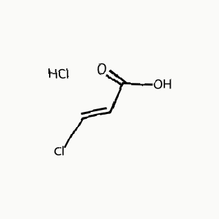 Cl.O=C(O)C=CCl